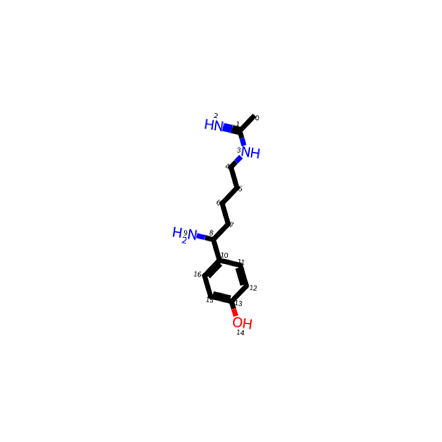 CC(=N)NCCCCC(N)c1ccc(O)cc1